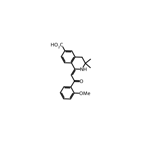 COc1ccccc1C(=O)/C=C1\NC(C)(C)Cc2cc(C(=O)O)ccc21